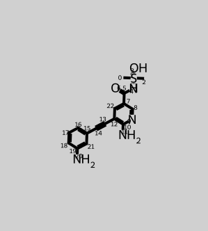 C[SH](C)(O)=NC(=O)c1cnc(N)c(C#Cc2cccc(N)c2)c1